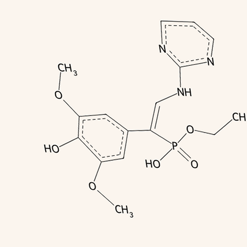 CCOP(=O)(O)C(=CNc1ncccn1)c1cc(OC)c(O)c(OC)c1